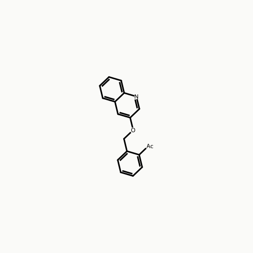 CC(=O)c1ccccc1COc1cnc2ccccc2c1